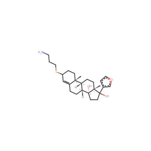 C[C@]12CCC(SCCCN)C=C1CC[C@@H]1[C@H]2CC[C@]2(C)C(O)(c3ccoc3)CC[C@@]12O